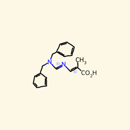 C/C(=C\N=C\N(Cc1ccccc1)Cc1ccccc1)C(=O)O